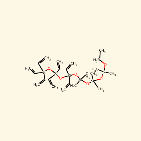 C=C[Si](C=C)(C=C)O[Si](C=C)(C=C)O[Si](C=C)(C=C)O[Si](C)(C)O[Si](C)(C)O[Si](C)(C)O[SiH2]C